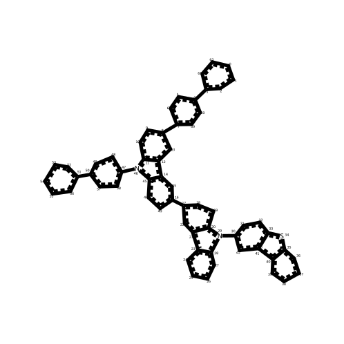 c1ccc(-c2ccc(-c3ccc4c(c3)c3cc(-c5ccc6c(c5)c5ccccc5n6-c5ccc6sc7ccccc7c6c5)ccc3n4-c3ccc(-c4ccccc4)cc3)cc2)cc1